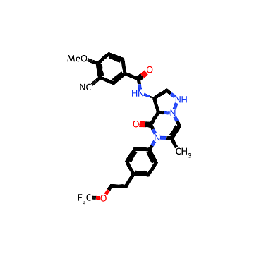 COc1ccc(C(=O)N[C@H]2CNN3C=C(C)N(c4ccc(CCOC(F)(F)F)cc4)C(=O)C23)cc1C#N